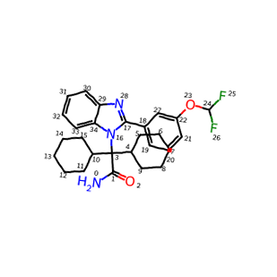 NC(=O)C(C1CCCCC1)(C1CCCCC1)n1c(-c2cccc(OC(F)F)c2)nc2ccccc21